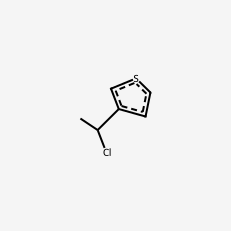 CC(Cl)c1ccsc1